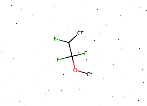 [CH2]COC(F)(F)C(F)C(F)(F)F